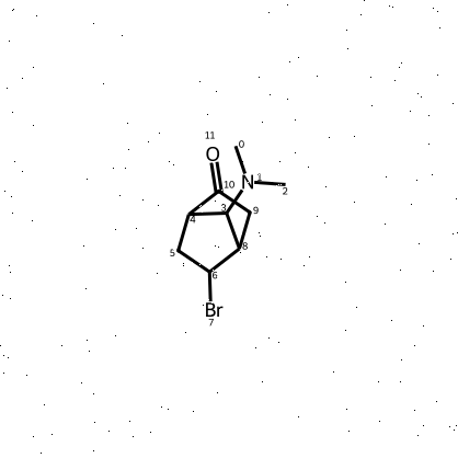 CN(C)C1C2CC(Br)C1CC2=O